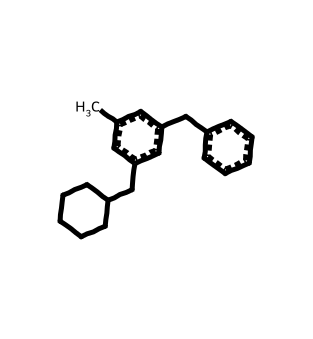 Cc1cc(Cc2ccccc2)cc(CC2CCCCC2)c1